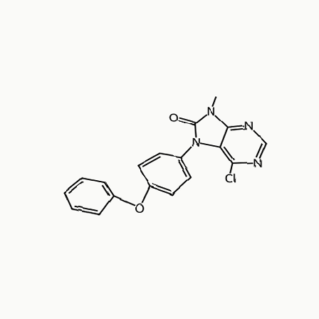 Cn1c(=O)n(-c2ccc(Oc3ccccc3)cc2)c2c(Cl)ncnc21